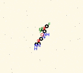 CN(C(=O)Nc1ccc(Oc2ccc(F)cc2)c(C(F)(F)F)c1)c1ccc(Oc2ccnc3[nH]ccc23)cc1